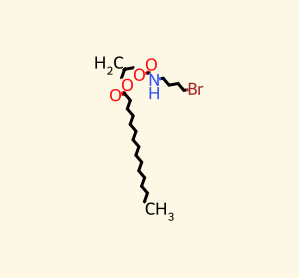 C=C(COC(=O)CCCCCCCCCCCCCCC)COC(=O)NCCCCBr